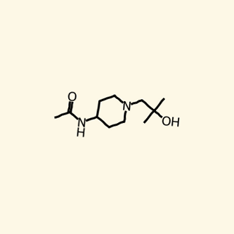 CC(=O)NC1CCN(CC(C)(C)O)CC1